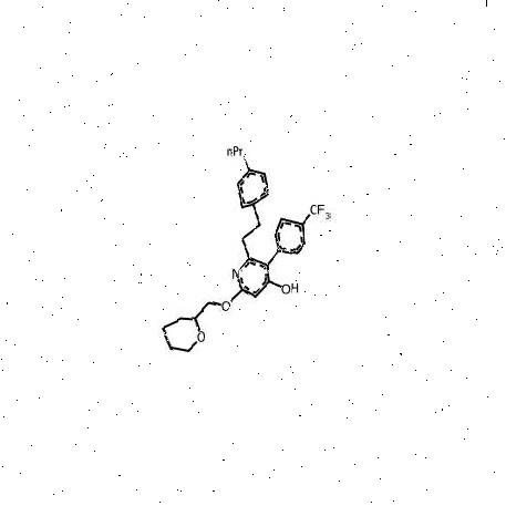 CCCc1ccc(CCc2nc(OCC3CCCCO3)cc(O)c2-c2ccc(C(F)(F)F)cc2)cc1